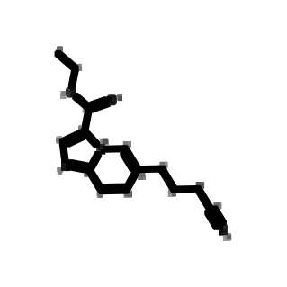 CCOC(=O)c1cnc2ccc(CCCC#N)cn12